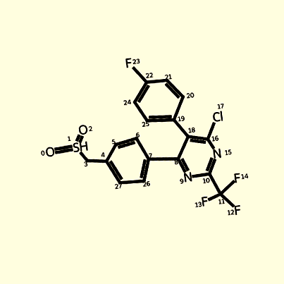 O=[SH](=O)Cc1ccc(-c2nc(C(F)(F)F)nc(Cl)c2-c2ccc(F)cc2)cc1